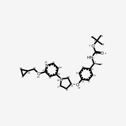 C[C@H](NC(=O)OC(C)(C)C)c1ccc(O[C@@H]2CCN(c3ccnc(OCC4CC4)c3)C2)cc1